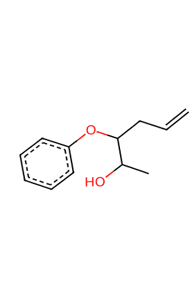 C=CCC(Oc1ccccc1)C(C)O